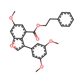 COc1cc(OC)cc(-c2coc3cc(OC)cc(C(=O)OCCc4ccccc4)c23)c1